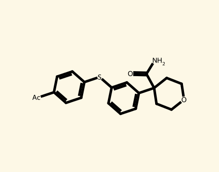 CC(=O)c1ccc(Sc2cccc(C3(C(N)=O)CCOCC3)c2)cc1